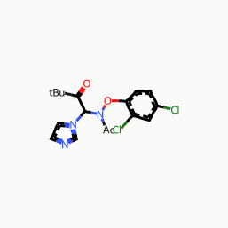 CC(=O)N(Oc1ccc(Cl)cc1Cl)C(C(=O)C(C)(C)C)n1ccnc1